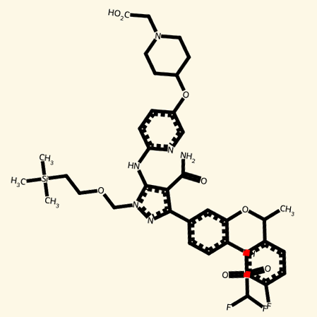 CC(Oc1cc(-c2nn(COCC[Si](C)(C)C)c(Nc3ccc(OC4CCN(CC(=O)O)CC4)cn3)c2C(N)=O)ccc1NS(=O)(=O)C(F)F)c1ccc(F)cc1